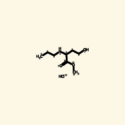 CCCNC(CCO)C(=O)OC.Cl